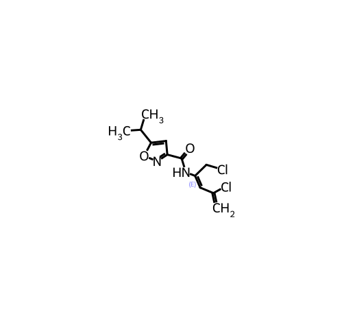 C=C(Cl)/C=C(\CCl)NC(=O)c1cc(C(C)C)on1